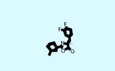 Cc1cccc(C2=N/C(=C\c3ccc(F)c(F)c3)C(=O)O2)c1